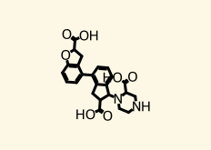 O=C(O)C1Cc2c(cccc2-c2cccc3c2CC(C(=O)O)C3N2CCNCC2C(=O)O)O1